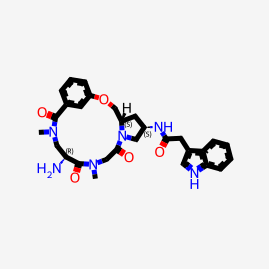 CN1C[C@@H](N)C(=O)N(C)CC(=O)N2C[C@@H](NC(=O)Cc3c[nH]c4ccccc34)C[C@H]2COc2cccc(c2)C1=O